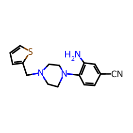 N#Cc1ccc(N2CCN(Cc3cccs3)CC2)c(N)c1